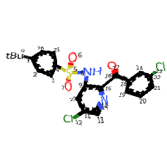 CC(C)(C)c1ccc(S(=O)(=O)Nc2cc(Cl)cnc2C(=O)c2cccc(Cl)c2)cc1